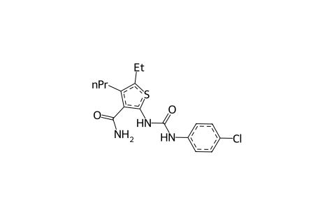 CCCc1c(CC)sc(NC(=O)Nc2ccc(Cl)cc2)c1C(N)=O